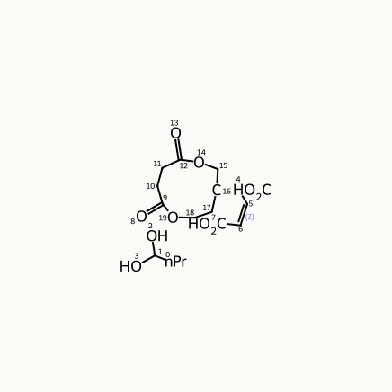 CCCC(O)O.O=C(O)/C=C\C(=O)O.O=C1CCC(=O)OCCCCO1